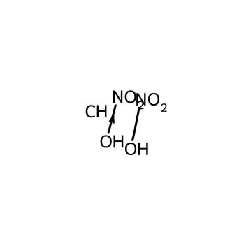 C.O=[N+]([O-])O.O=[N+]([O-])O